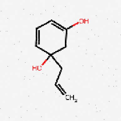 C=CCC1(O)C=CC=C(O)C1